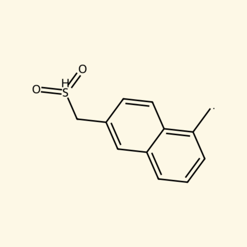 [CH2]c1cccc2cc(C[SH](=O)=O)ccc12